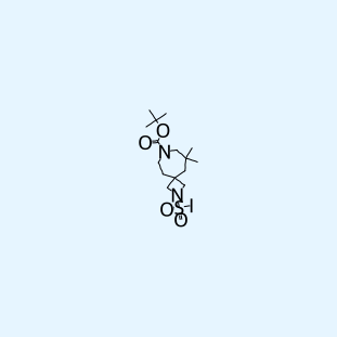 CC1(C)CN(C(=O)OC(C)(C)C)CCC2(CN(S(=O)(=O)I)C2)C1